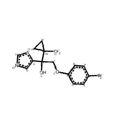 OC(COc1ccc(Br)cc1)(c1cncs1)C1(C(F)(F)F)CC1